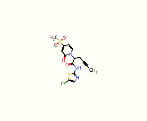 CC#CCC(C(=O)Nc1ncc(Cl)s1)n1ccc(S(C)(=O)=O)cc1=O